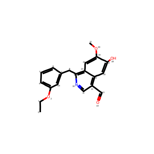 CCOc1cccc(Cc2ncc(C=O)c3cc(O)c(OC)cc23)c1